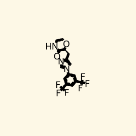 O=C1NCCO[C@H]1Cc1cn(-c2cc(C(F)(F)F)cc(C(F)(F)F)c2)cn1